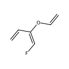 C=COC(C=C)=CF